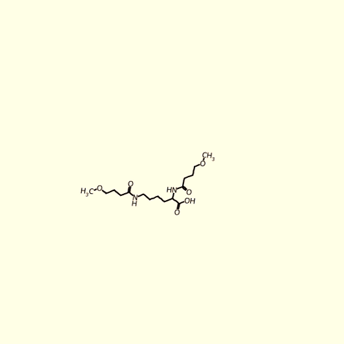 COCCCC(=O)NCCCCC(NC(=O)CCCOC)C(=O)O